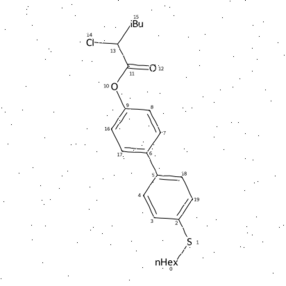 CCCCCCSc1ccc(-c2ccc(OC(=O)C(Cl)C(C)CC)cc2)cc1